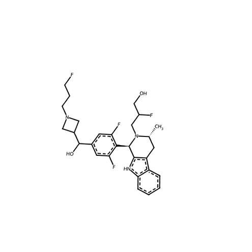 C[C@@H]1Cc2c([nH]c3ccccc23)[C@@H](c2c(F)cc(C(O)C3CN(CCCF)C3)cc2F)N1CC(F)CO